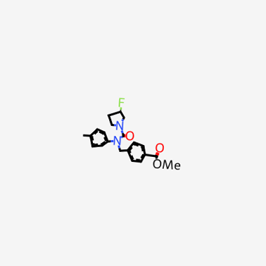 COC(=O)c1ccc(CN(C(=O)N2CC[C@@H](F)C2)c2ccc(C)cc2)cc1